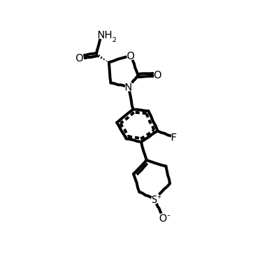 NC(=O)[C@H]1CN(c2ccc(C3=CC[S+]([O-])CC3)c(F)c2)C(=O)O1